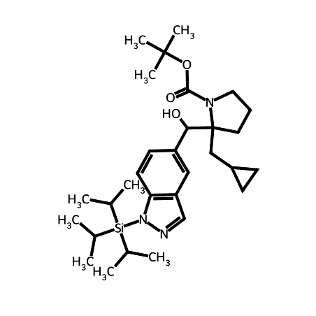 CC(C)[Si](C(C)C)(C(C)C)n1ncc2cc(C(O)C3(CC4CC4)CCCN3C(=O)OC(C)(C)C)ccc21